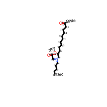 CCCCCCCCCCCCCCN(CCCCCCCCCCCC(=O)OC)CC(=O)OC(C)(C)C